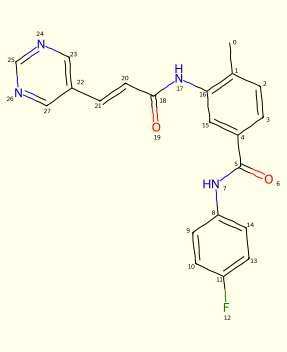 Cc1ccc(C(=O)Nc2ccc(F)cc2)cc1NC(=O)C=Cc1cncnc1